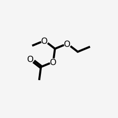 CCOC(OC)OC(C)=O